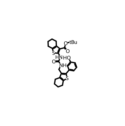 CC(C)(C)OC(=O)c1c(NC(=O)NCc2c(-c3cccc(O)c3)sc3c2CCCC3)sc2c1CCCC2